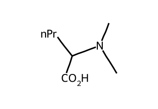 CCCC(C(=O)O)N(C)C